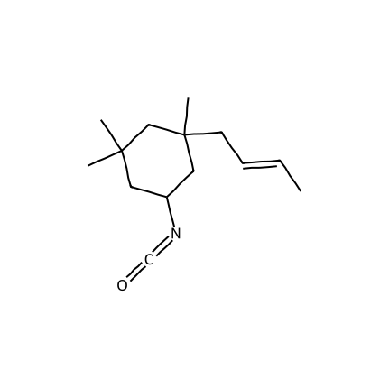 CC=CCC1(C)CC(N=C=O)CC(C)(C)C1